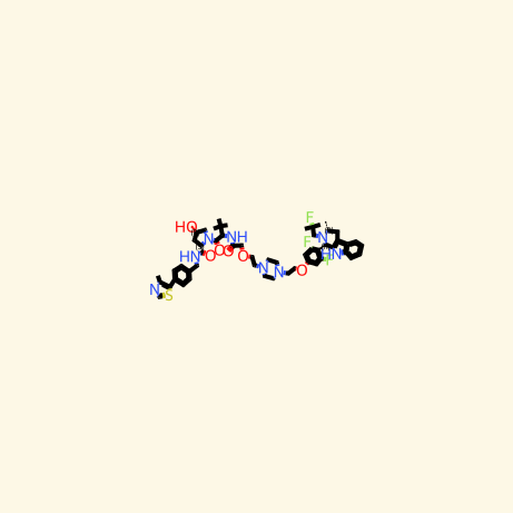 Cc1ncsc1-c1ccc(CNC(=O)[C@@H]2C[C@@H](O)CN2C(=O)C(NC(=O)COCCN2CCN(CCOc3cc(F)c([C@@H]4c5[nH]c6ccccc6c5C[C@@H](C)N4CC(C)(C)F)c(F)c3)CC2)C(C)(C)C)cc1